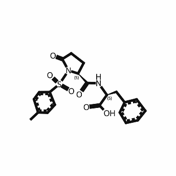 Cc1ccc(S(=O)(=O)N2C(=O)CC[C@H]2C(=O)N[C@@H](Cc2ccccc2)C(=O)O)cc1